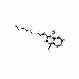 CCCCCCC/C=C/c1cc(=O)c2ccccc2n1O